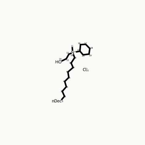 CCCCCCCCCCCCCCCCCCC[N+](C)(CCO)C1CCCCC1.[Cl-]